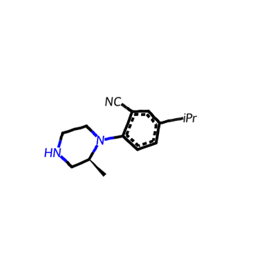 CC(C)c1ccc(N2CCNC[C@@H]2C)c(C#N)c1